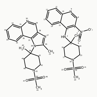 CC1(Nc2c([N+](=O)[O-])cnc3ccccc23)CCN(S(C)(=O)=O)CC1.Cc1nc2cnc3ccccc3c2n1C1(C)CCN(S(C)(=O)=O)CC1